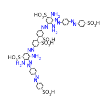 Nc1c(N=Nc2ccc(-c3ccc(N=Nc4cc(S(=O)(=O)O)c(N)c(/N=N/c5ccc(N=Nc6ccc(S(=O)(=O)O)cc6)cc5)c4N)cc3S(=O)(=O)O)c(S(=O)(=O)O)c2)cc(S(=O)(=O)O)c(N)c1N=Nc1ccc(N=Nc2ccc(S(=O)(=O)O)cc2)cc1